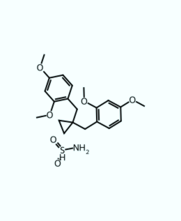 COc1ccc(CC2(Cc3ccc(OC)cc3OC)CC2)c(OC)c1.N[SH](=O)=O